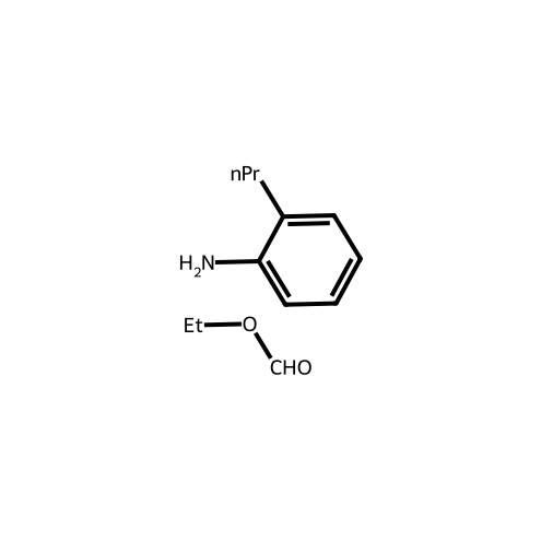 CCCc1ccccc1N.CCOC=O